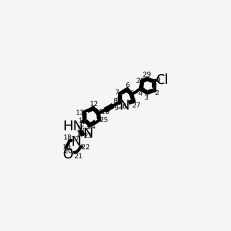 Clc1ccc(-c2ccc(C#Cc3ccc4[nH]c(N5CCOCC5)nc4c3)nc2)cc1